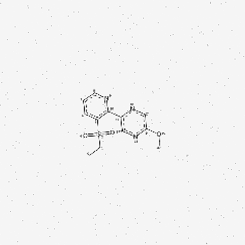 CCS(=O)(=O)c1cccnc1-c1cnc(OC)cn1